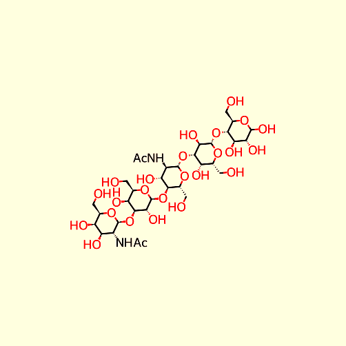 CC(=O)N[C@H]1[C@H](O[C@H]2[C@@H](O)[C@@H](CO)O[C@@H](O[C@H]3[C@H](O)[C@@H](O)C(O)O[C@@H]3CO)[C@@H]2O)O[C@H](CO)[C@@H](O[C@@H]2O[C@H](CO)[C@H](O)[C@H](O[C@@H]3O[C@H](CO)[C@H](O)[C@H](O)[C@H]3NC(C)=O)[C@H]2O)[C@@H]1O